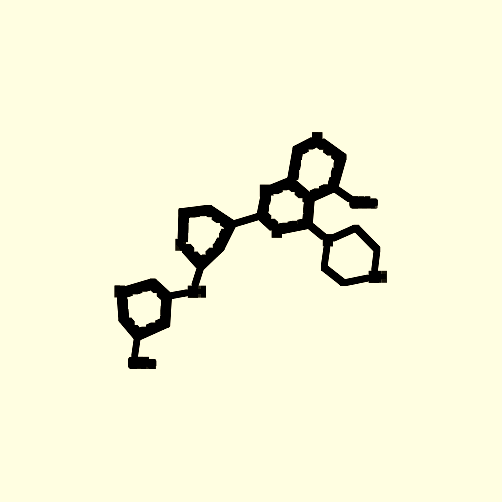 COc1cncc(Nc2cc(-c3nc(N4CCNCC4)c4c(OC)cncc4n3)ccn2)c1